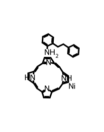 C1=Cc2cc3ccc(cc4nc(cc5ccc(cc1n2)[nH]5)C=C4)[nH]3.Nc1ccccc1CCc1ccccc1.[Ni]